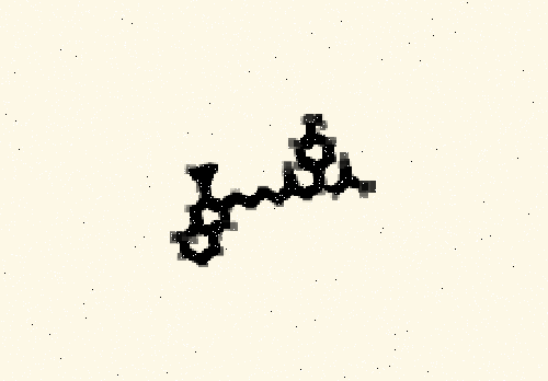 Cc1ncc([C@H](CC(=O)O)CC(=O)CCCCc2nc3c(cc2C2CC2)NCCC3)cn1